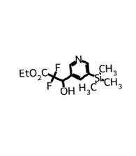 CCOC(=O)C(F)(F)C(O)c1cncc([Si](C)(C)C)c1